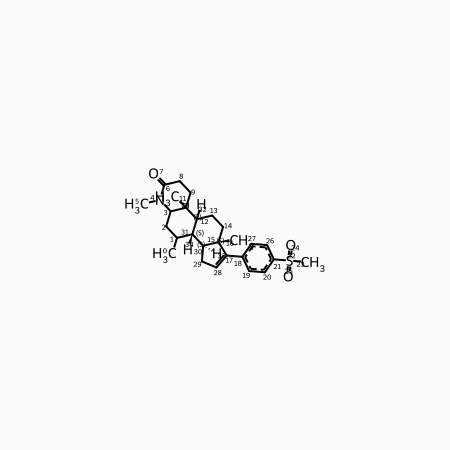 CC1CC2N(C)C(=O)CC[C@]2(C)[C@@H]2CC[C@]3(C)C(c4ccc(S(C)(=O)=O)cc4)=CC[C@H]3[C@H]12